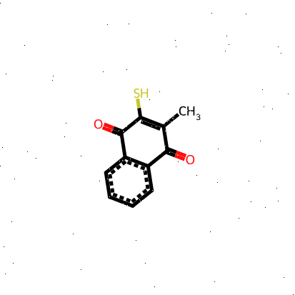 CC1=C(S)C(=O)c2ccccc2C1=O